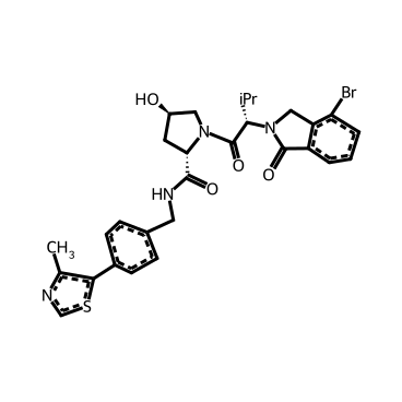 Cc1ncsc1-c1ccc(CNC(=O)[C@@H]2C[C@@H](O)CN2C(=O)[C@H](C(C)C)N2Cc3c(Br)cccc3C2=O)cc1